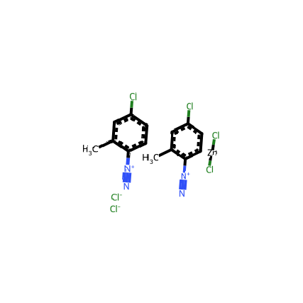 Cc1cc(Cl)ccc1[N+]#N.Cc1cc(Cl)ccc1[N+]#N.[Cl-].[Cl-].[Cl][Zn][Cl]